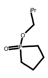 CC(C)COP1(=O)CCCC1